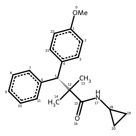 COc1ccc([C@@H](c2ccccc2)C(C)(C)C(=O)NC2CC2)cc1